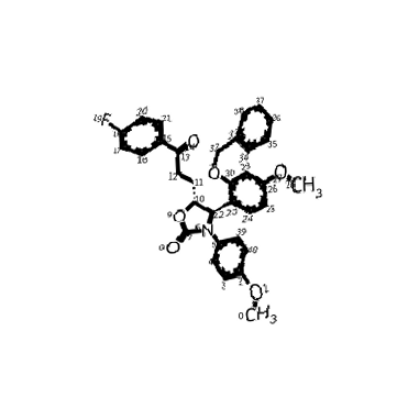 COc1ccc(N2C(=O)O[C@H](CCC(=O)c3ccc(F)cc3)[C@H]2c2ccc(OC)cc2OCc2ccccc2)cc1